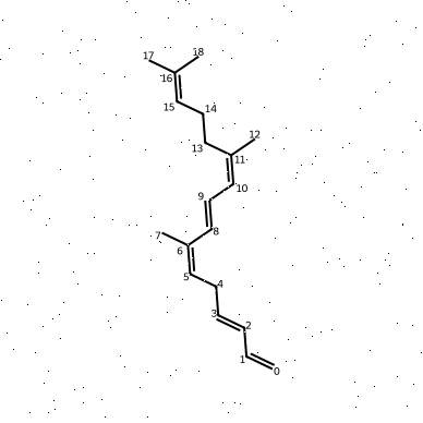 C=CC=CCC=C(C)C=CC=C(C)CCC=C(C)C